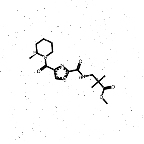 COC(=O)C(C)(C)CNC(=O)c1nc(C(=O)N2CCCC[C@@H]2C)cs1